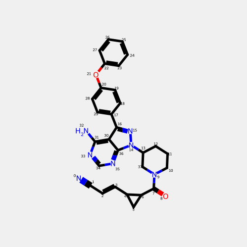 N#CC=CC1CC1C(=O)N1CCCC(n2nc(-c3ccc(Oc4ccccc4)cc3)c3c(N)ncnc32)C1